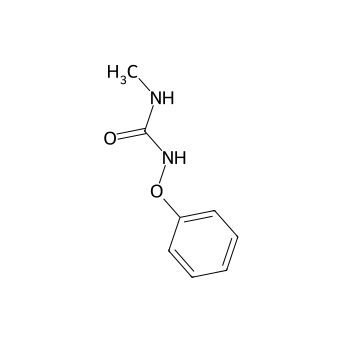 CNC(=O)NOc1ccccc1